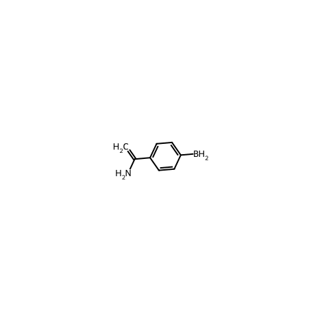 Bc1ccc(C(=C)N)cc1